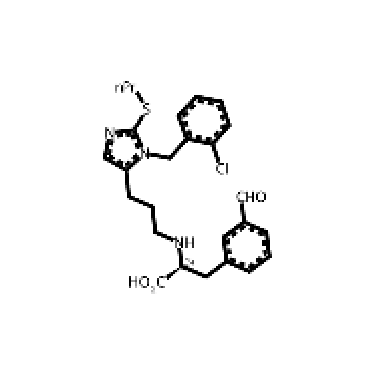 CCCSc1ncc(CCCN[C@@H](Cc2cccc(C=O)c2)C(=O)O)n1Cc1ccccc1Cl